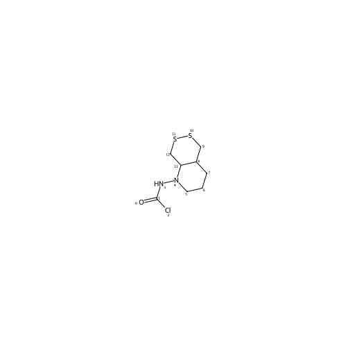 O=C(Cl)NN1CCCC2CSSCC21